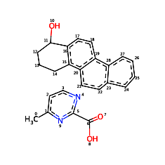 Cc1ccnc(C(=O)O)n1.OC1CCCc2c1ccc1c2ccc2ccccc21